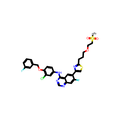 CCCS(=O)(=O)CCOCCCc1nc(-c2cc3c(Nc4ccc(OCc5cccc(F)c5)c(Cl)c4)ncnc3cc2F)cs1